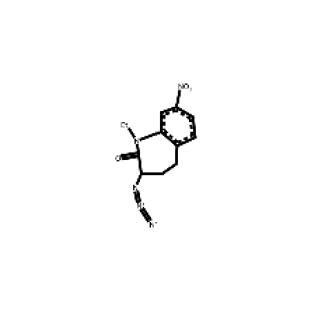 CCN1C(=O)C(N=[N+]=[N-])CCc2ccc([N+](=O)[O-])cc21